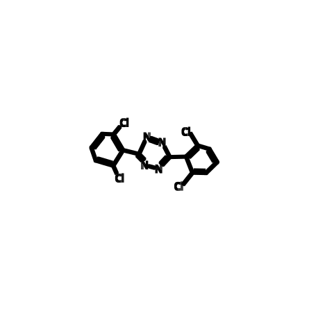 Clc1cccc(Cl)c1-c1nnc(-c2c(Cl)cccc2Cl)nn1